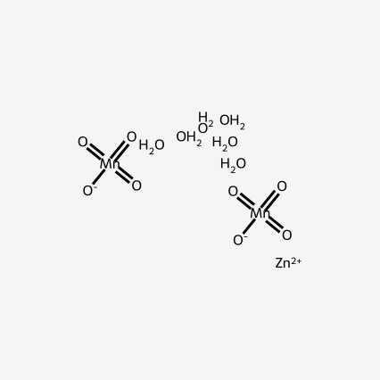 O.O.O.O.O.O.[O]=[Mn](=[O])(=[O])[O-].[O]=[Mn](=[O])(=[O])[O-].[Zn+2]